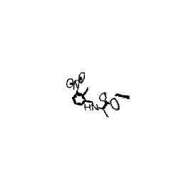 CCOC(=O)[C@@H](C)NCc1cccc([N+](=O)[O-])c1C